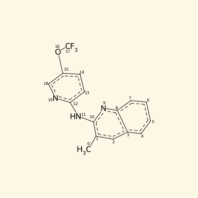 Cc1cc2ccccc2nc1Nc1ccc(OC(F)(F)F)cn1